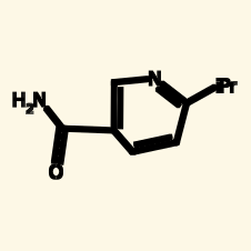 CC(C)c1ccc(C(N)=O)cn1